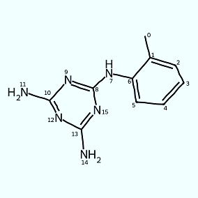 Cc1ccccc1Nc1nc(N)nc(N)n1